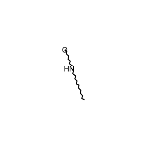 CCCCCCCCCCCCCNCCCCCCC=O